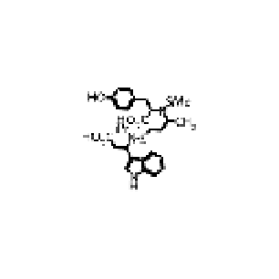 CSN(C(C)CCSN(C(C)C)C(CC(=O)O)c1c[nH]c2ccccc12)C(Cc1ccc(O)cc1)C(=O)O